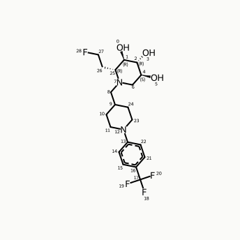 O[C@H]1[C@H](O)[C@@H](O)CN(CC2CCN(c3ccc(C(F)(F)F)cc3)CC2)[C@@H]1CCF